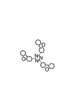 c1ccc2c(c1)oc1ccc(-c3nc(-c4ccc5oc6ccccc6c5c4)nc(-c4ccc5oc6ccccc6c5c4)n3)cc12